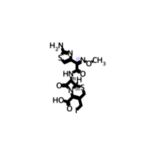 CO/N=C(\C(=O)N[C@@H]1C(=O)N2C(C(=O)O)=C(CI)CS[C@@H]12)c1csc(N)n1